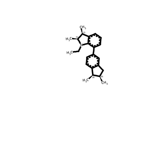 CCN1c2c(-c3ccc4c(c3)C[C@@H](C)[C@H]4C)cccc2[C@H](C)[C@@H]1C